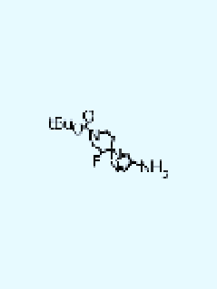 CC(C)(C)OC(=O)N1CCC(n2cc(N)cn2)C(F)C1